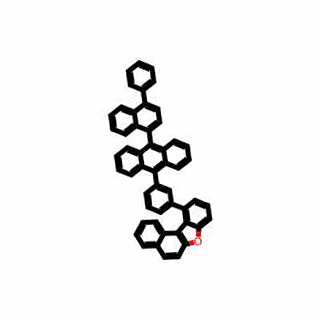 c1ccc(-c2ccc(-c3c4ccccc4c(-c4cccc(-c5cccc6oc7ccc8ccccc8c7c56)c4)c4ccccc34)c3ccccc23)cc1